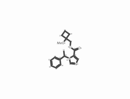 COC1(COC(=O)c2cncn2C(C)c2ccccc2)CCC1